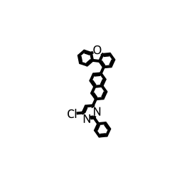 Clc1cc(-c2ccc3cc(-c4cccc5oc6ccccc6c45)ccc3c2)nc(-c2ccccc2)n1